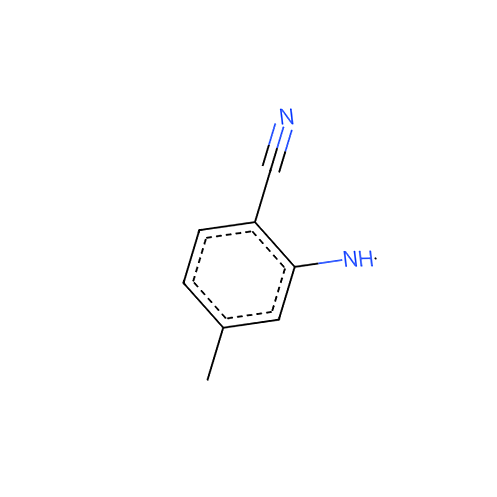 Cc1ccc(C#N)c([NH])c1